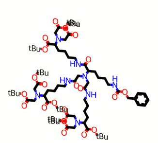 CC(C)(C)OC(=O)CN(CC(=O)OC(C)(C)C)C(CCCCNC(=O)CN(CC(=O)NCCCCC(C(=O)OC(C)(C)C)N(CC(=O)OC(C)(C)C)CC(=O)OC(C)(C)C)C(CCCCNC(=O)OCc1ccccc1)C(=O)NCCCCC(C(=O)OC(C)(C)C)N(CC(=O)OC(C)(C)C)CC(=O)OC(C)(C)C)C(=O)OC(C)(C)C